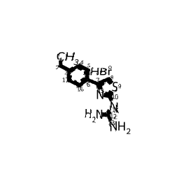 Br.CCc1ccc(-c2csc(N=C(N)N)n2)cc1